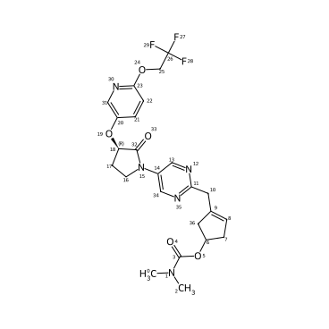 CN(C)C(=O)OC1CC=C(Cc2ncc(N3CC[C@@H](Oc4ccc(OCC(F)(F)F)nc4)C3=O)cn2)C1